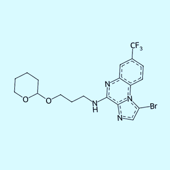 FC(F)(F)c1ccc2c(c1)nc(NCCCOC1CCCCO1)c1ncc(Br)n12